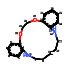 c1ccc2c(c1)NCCCCCNc1ccccc1OCCO2